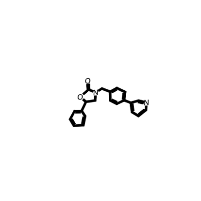 O=C1OC(c2ccccc2)CN1Cc1ccc(-c2cccnc2)cc1